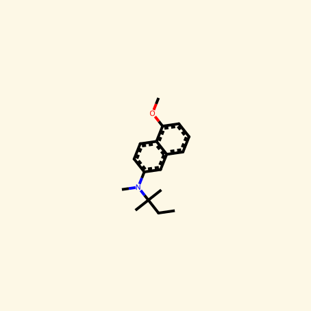 CCC(C)(C)N(C)c1ccc2c(OC)cccc2c1